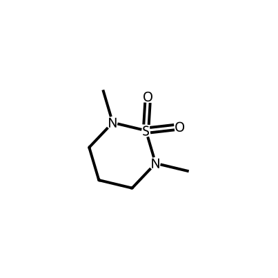 CN1CCCN(C)S1(=O)=O